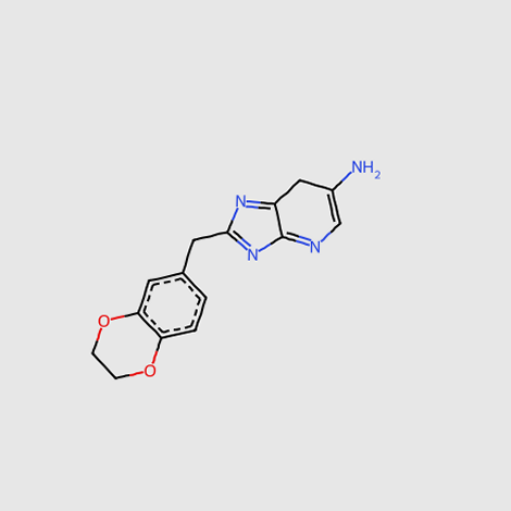 NC1=CN=C2N=C(Cc3ccc4c(c3)OCCO4)N=C2C1